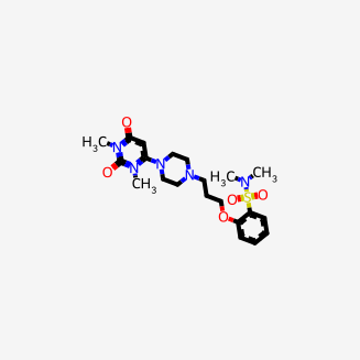 CN(C)S(=O)(=O)c1ccccc1OCCCN1CCN(c2cc(=O)n(C)c(=O)n2C)CC1